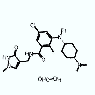 CCN(c1cc(Cl)cc(C(=O)NCc2cn(C)[nH]c2=O)c1C)[C@H]1CC[C@H](N(C)C)CC1.O=CO